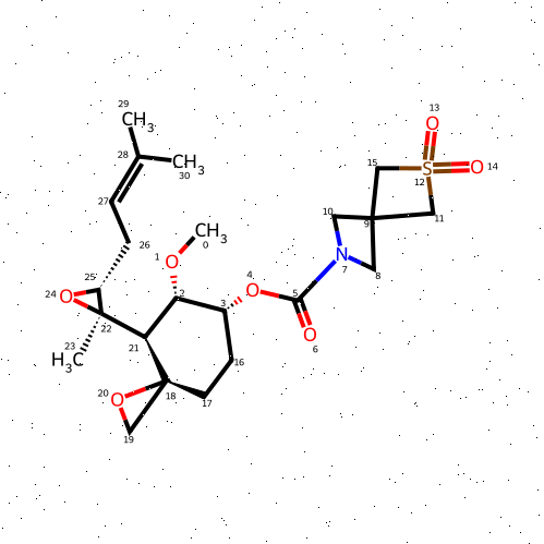 CO[C@@H]1[C@H](OC(=O)N2CC3(C2)CS(=O)(=O)C3)CC[C@]2(CO2)[C@H]1[C@@]1(C)O[C@@H]1CC=C(C)C